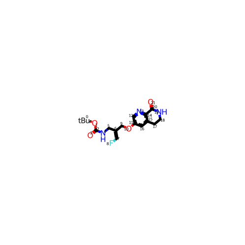 CC(C)(C)OC(=O)NCC(=CF)COc1cnc2c(c1)CCNC2=O